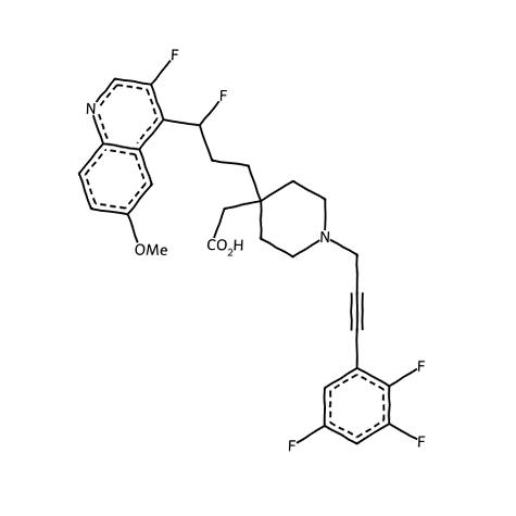 COc1ccc2ncc(F)c(C(F)CCC3(CC(=O)O)CCN(CC#Cc4cc(F)cc(F)c4F)CC3)c2c1